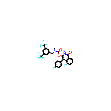 CN(Cc1cc(C(F)(F)F)cc(C(F)(F)F)c1)C(=O)Oc1c(-c2ccc(F)cc2)c2c(F)cccc2c(=O)n1C